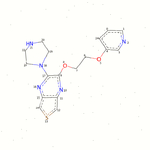 c1cncc(OCCOc2nc3cscc3nc2N2CCNCC2)c1